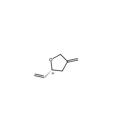 C=C[C@H]1CC(=C)CO1